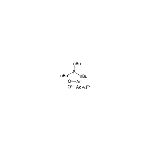 CC(=O)[O-].CC(=O)[O-].CCCCP(CCCC)CCCC.[Pd+2]